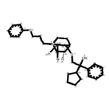 OC(CO[C@@H]1C2CC[N+](CCCOc3ccccc3)(CC2)[C@H]1Br)(c1ccccc1)C1CCCC1